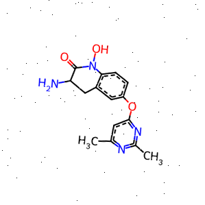 Cc1cc(Oc2ccc3c(c2)CC(N)C(=O)N3O)nc(C)n1